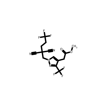 COC(=O)Cc1cn(CC(C#N)(C#N)CCC(F)(F)F)nc1C(F)(F)F